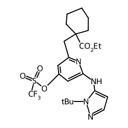 CCOC(=O)C1(Cc2cc(OS(=O)(=O)C(F)(F)F)cc(Nc3ccnn3C(C)(C)C)n2)CCCCC1